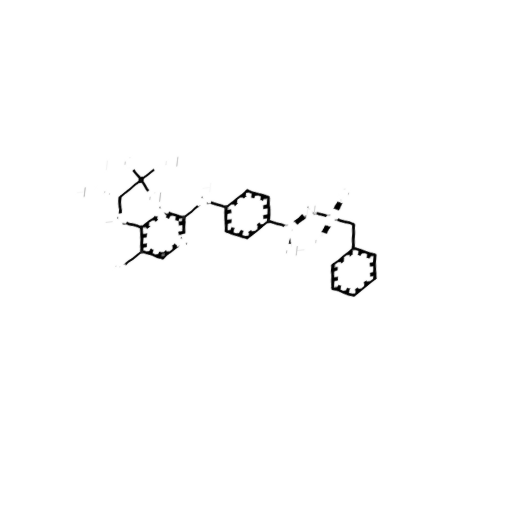 C[C@@H](Nc1nc(Nc2ccc([S@](C)=NS(=O)(=O)Cc3ccccc3)cc2)ncc1Br)C(C)(C)O